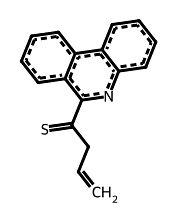 C=CCC(=S)c1nc2ccccc2c2ccccc12